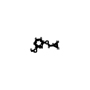 COc1cccc(OCC2CC2)n1